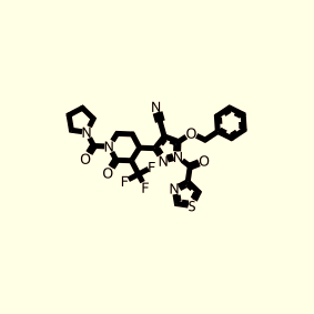 N#Cc1c(C2CCN(C(=O)N3CCCC3)C(=O)C2C(F)(F)F)nn(C(=O)c2cscn2)c1OCc1ccccc1